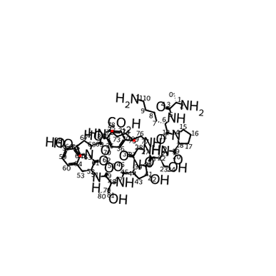 C[C@H](N)C(=O)N[C@@H](CCCCN)C(=O)N1CCC[C@H]1C(=O)N[C@@H](CO)C(=O)N[C@@H](Cc1ccc(O)cc1)C(=O)N1C[C@H](O)C[C@H]1C(=O)N[C@H](C(=O)N[C@@H](Cc1ccc(O)cc1)C(=O)N1C[C@H](O)C[C@H]1C(=O)N[C@@H](CCCCN)C(=O)O)[C@@H](C)O